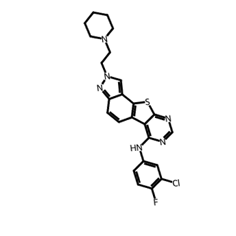 Fc1ccc(Nc2ncnc3sc4c5cn(CCN6CCCCC6)nc5ccc4c23)cc1Cl